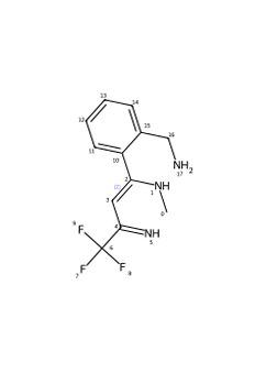 CN/C(=C\C(=N)C(F)(F)F)c1ccccc1CN